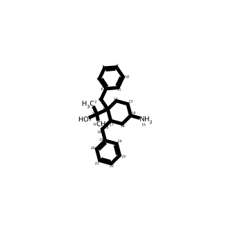 CC(C)(O)C1(Cc2ccccc2)CCC(N)CC1Cc1ccccc1